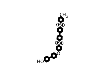 Cc1ccc(S(=O)(=O)c2ccc(-c3ccc(S(=O)(=O)c4ccc(Oc5ccc(-c6ccc(O)cc6)cc5)cc4)cc3)cc2)cc1